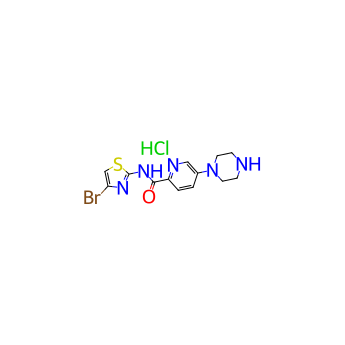 Cl.O=C(Nc1nc(Br)cs1)c1ccc(N2CCNCC2)cn1